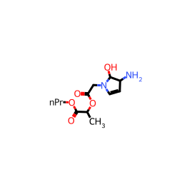 CCCOC(=O)C(C)OC(=O)CN1C=CC(N)C1O